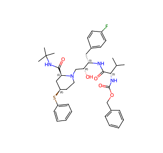 CC(C)[C@H](NC(=O)OCc1ccccc1)C(=O)N[C@@H](Cc1ccc(F)cc1)[C@H](O)CN1CC[C@@H](Sc2ccccc2)C[C@H]1C(=O)NC(C)(C)C